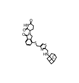 O=C1CCC(N2Cc3c(SCc4csc(CNC56CC7CC8CC(C5)C86C7)n4)cccc3C2=O)C(=O)N1